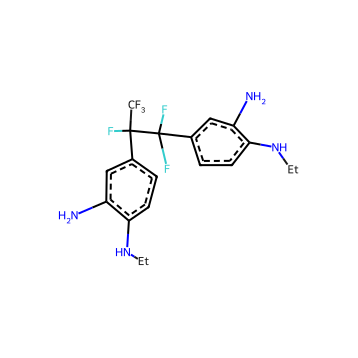 CCNc1ccc(C(F)(F)C(F)(c2ccc(NCC)c(N)c2)C(F)(F)F)cc1N